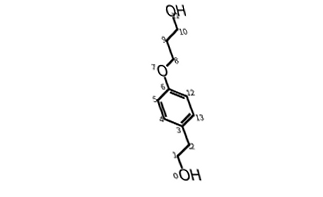 OC[CH]c1ccc(OCCCO)cc1